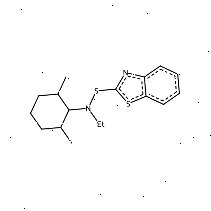 CCN(Sc1nc2ccccc2s1)C1C(C)CCCC1C